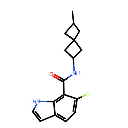 CC1CC2(C1)CC(NC(=O)c1c(F)ccc3cc[nH]c13)C2